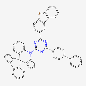 c1ccc(-c2ccc(-c3nc(-c4ccc5sc6ccccc6c5c4)nc(N4c5ccccc5C5(c6ccccc6-c6ccccc65)c5ccccc54)n3)cc2)cc1